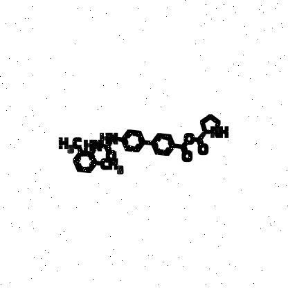 Cc1cccc(C)c1NC(=O)Nc1ccc(-c2ccc(C(=O)OC(=O)[C@H]3CCCN3)cc2)cc1